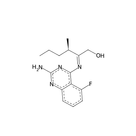 CCC[C@@H](C)/C(CO)=N\c1nc(N)nc2cccc(F)c12